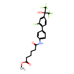 COC(=O)CCCCC(=O)Nc1ccc(-c2ccc(C(O)(C(F)(F)F)C(F)(F)F)cc2F)cc1